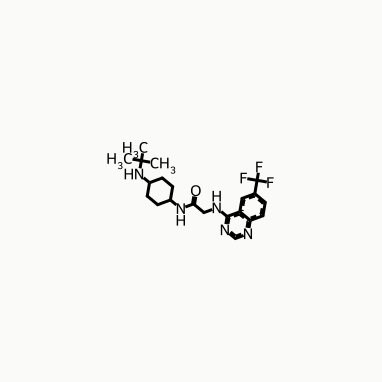 CC(C)(C)NC1CCC(NC(=O)CNc2ncnc3ccc(C(F)(F)F)cc23)CC1